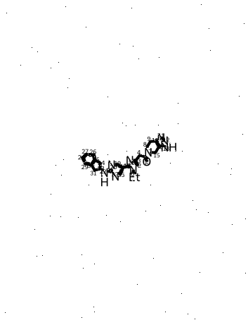 CCn1cc(CC(=O)N2CCc3nn[nH]c3C2)nc1-c1cnc(NC2Cc3ccccc3C2)nc1